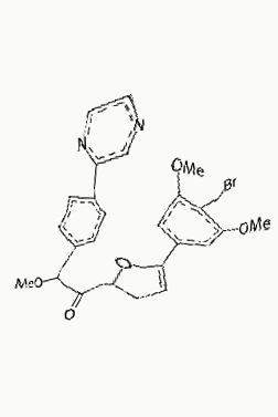 COc1cc(C2=CCC(C(=O)C(OC)c3ccc(-c4cnccn4)cc3)O2)cc(OC)c1Br